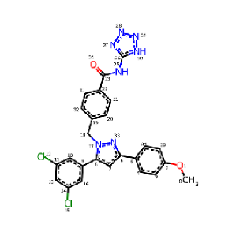 COc1ccc(-c2cc(-c3cc(Cl)cc(Cl)c3)n(Cc3ccc(C(=O)Nc4nnn[nH]4)cc3)n2)cc1